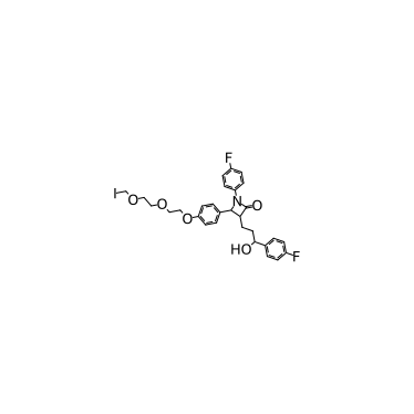 O=C1C(CCC(O)c2ccc(F)cc2)C(c2ccc(OCCOCCOCI)cc2)N1c1ccc(F)cc1